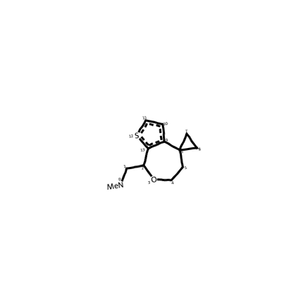 CNCC1OCCC2(CC2)c2ccsc21